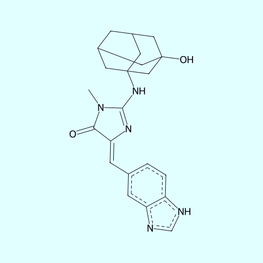 CN1C(=O)/C(=C/c2ccc3[nH]cnc3c2)N=C1NC12CC3CC(CC(O)(C3)C1)C2